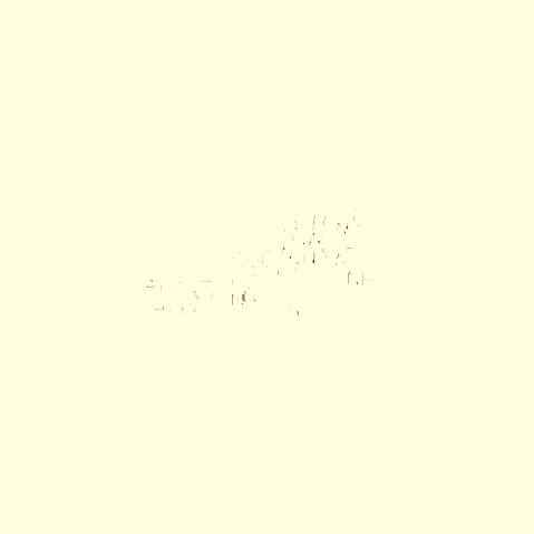 CCON=C(C(=O)N[C@@H]1C(=O)N2C(C(=O)[O-])=C(CSc3nnc(-c4ccc(OC(C)=O)c(OC(C)=O)c4)o3)CS[C@@H]12)c1csc(N)n1.[Na+]